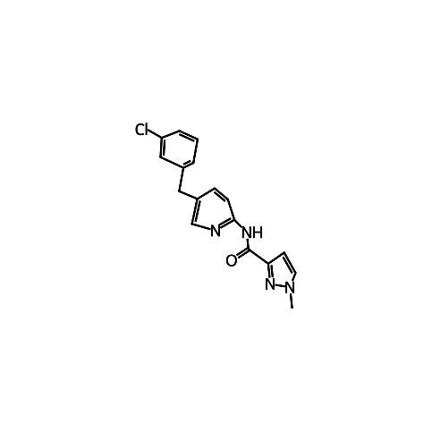 Cn1ccc(C(=O)Nc2ccc(Cc3cccc(Cl)c3)cn2)n1